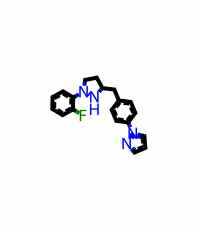 Fc1ccccc1N1CCC(Cc2ccc(-n3cccn3)cc2)N1